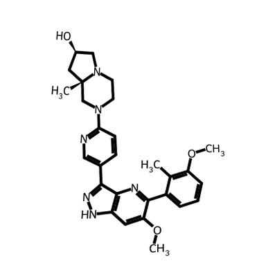 COc1cc2[nH]nc(-c3ccc(N4CCN5C[C@H](O)C[C@@]5(C)C4)nc3)c2nc1-c1cccc(OC)c1C